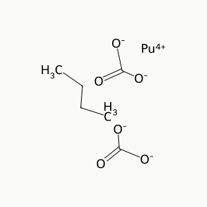 CCCC.O=C([O-])[O-].O=C([O-])[O-].[Pu+4]